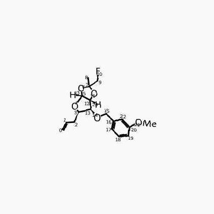 C=CC[C@H]1O[C@@H]2OC(C)(CF)O[C@@H]2[C@H]1OCc1cccc(OC)c1